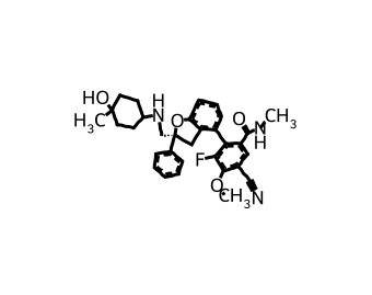 CNC(=O)c1cc(C#N)c(OC)c(F)c1-c1cccc2c1C[C@@](CNC1CCC(C)(O)CC1)(c1ccccc1)O2